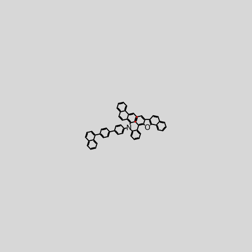 c1ccc(N(c2ccc(-c3ccc(-c4cccc5ccccc45)cc3)cc2)c2cccc3c2ccc2ccccc23)c(-c2cccc3c2oc2c4ccccc4ccc32)c1